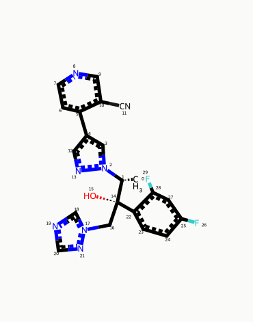 C[C@@H](n1cc(-c2ccncc2C#N)cn1)[C@](O)(Cn1cncn1)c1ccc(F)cc1F